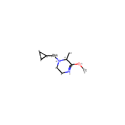 CCOC1=NCCN(BC2CC2)C1C